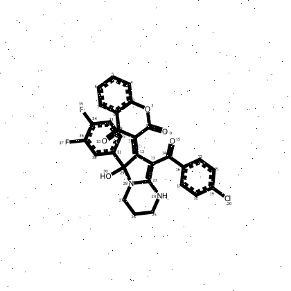 O=C1Oc2ccccc2C(=O)/C1=C1/C(C(=O)c2ccc(Cl)cc2)=C2NCCCN2C1(O)c1ccc(F)c(F)c1